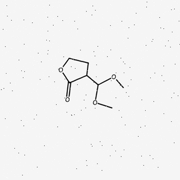 COC(OC)C1CCOC1=O